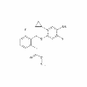 COC(=O)Oc1cccc(F)c1COc1cc(F)c(C)cc1C1CC1